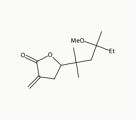 C=C1CC(C(C)(C)CC(C)(CC)OC)OC1=O